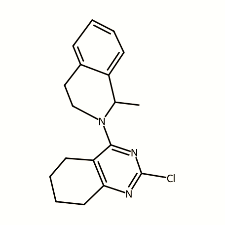 CC1c2ccccc2CCN1c1nc(Cl)nc2c1CCCC2